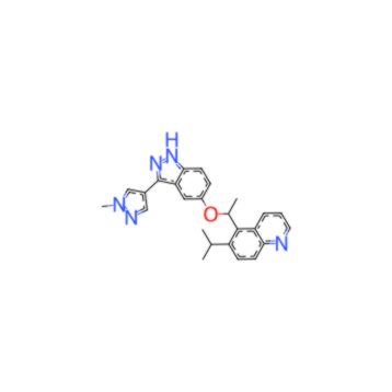 CC(C)c1ccc2ncccc2c1C(C)Oc1ccc2[nH]nc(-c3cnn(C)c3)c2c1